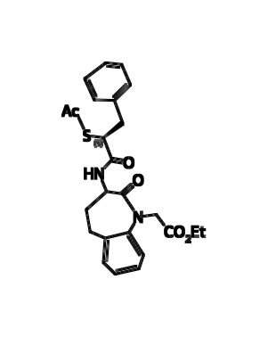 CCOC(=O)CN1C(=O)C(NC(=O)[C@H](Cc2ccccc2)SC(C)=O)CCc2ccccc21